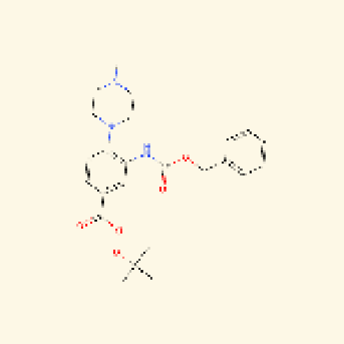 CN1CCN(c2ccc(C(=O)OOC(C)(C)C)cc2NC(=O)OCc2ccccc2)CC1